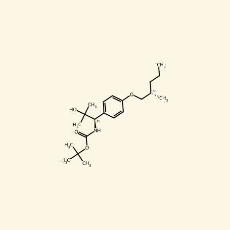 CCC[C@H](C)COc1ccc([C@@H](NC(=O)OC(C)(C)C)C(C)(C)O)cc1